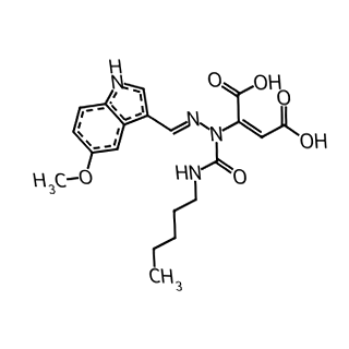 CCCCCNC(=O)N(N=Cc1c[nH]c2ccc(OC)cc12)/C(=C/C(=O)O)C(=O)O